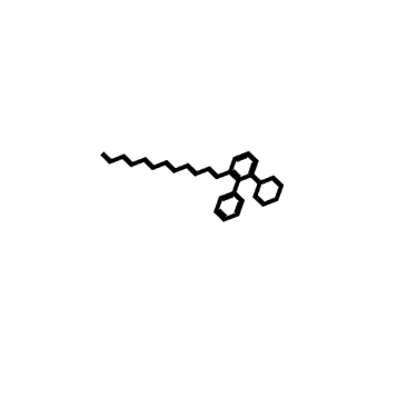 CCCCCCCCCCCCc1cccc(C2CCCCC2)c1-c1ccccc1